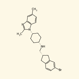 Cc1ccc2c(c1)nc(C)n2[C@H]1CC[C@@H](NC[C@H]2Cc3ccc(Br)cc3C2)CC1